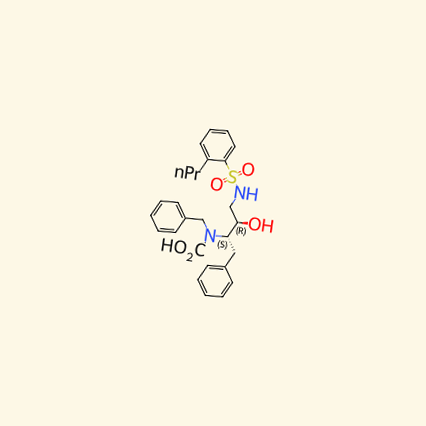 CCCc1ccccc1S(=O)(=O)NC[C@@H](O)[C@H](Cc1ccccc1)N(Cc1ccccc1)C(=O)O